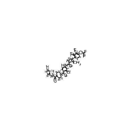 Cn1c(-c2ccc(OC(F)F)c(F)c2F)cnc1C(=O)Nc1ccc(C(=O)N2CCC(C(=O)NC[C@@H]3CCNC3)CC2)c(Cl)c1